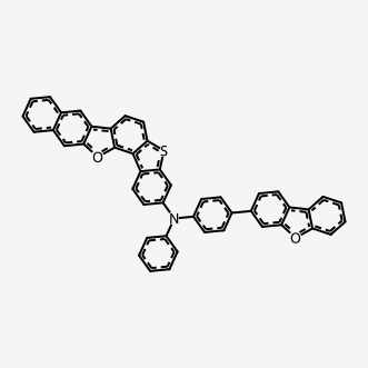 c1ccc(N(c2ccc(-c3ccc4c(c3)oc3ccccc34)cc2)c2ccc3c(c2)sc2ccc4c5cc6ccccc6cc5oc4c23)cc1